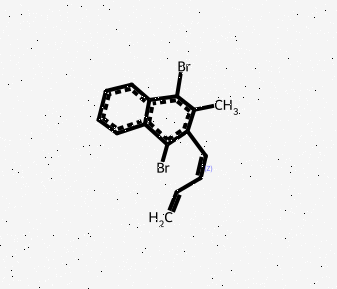 C=C/C=C\c1c(C)c(Br)c2ccccc2c1Br